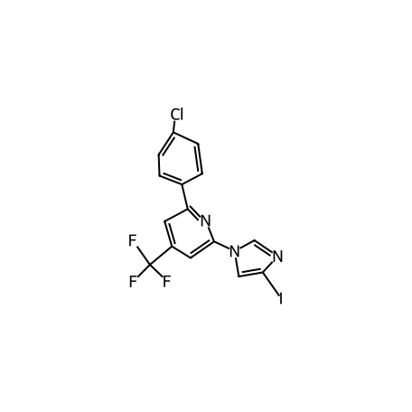 FC(F)(F)c1cc(-c2ccc(Cl)cc2)nc(-n2cnc(I)c2)c1